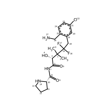 CC(C)([C@@H](O)C(=O)NC(=O)[C@@H]1CCCN1)C(F)(F)Cc1cc(Cl)ccc1CN